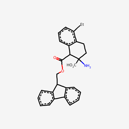 CCc1cccc2c1CCC(N)(C(=O)O)C2C(=O)OCC1c2ccccc2-c2ccccc21